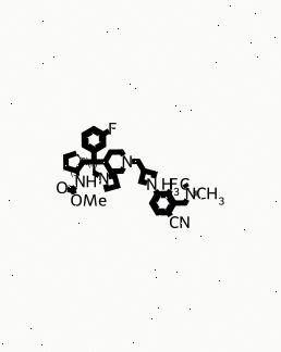 COC(=O)N[C@H]1CCC[C@@H]1[C@](CN1CCC1)(c1cccc(F)c1)C1CCN(CC2CN(c3ccc(C#N)c(CN(C)C)c3F)C2)CC1